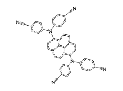 N#Cc1ccc(N(c2ccc(C#N)cc2)c2ccc3ccc4c(N(c5ccc(C#N)cc5)c5ccc(C#N)cc5)ccc5ccc2c3c54)cc1